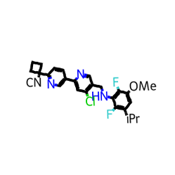 COc1cc(C(C)C)c(F)c(NCc2cnc(-c3ccc(C4(C#N)CCC4)nc3)cc2Cl)c1F